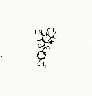 Cc1ccc(S(=O)(=O)c2[nH]c(=O)n(C)c(=N)c2F)cc1